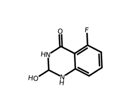 O=C1NC(O)Nc2cccc(F)c21